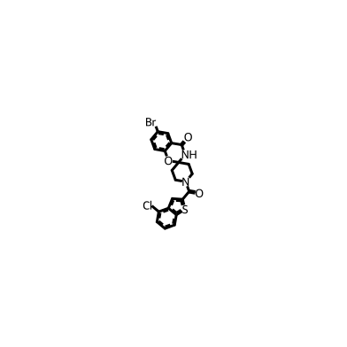 O=C1NC2(CCN(C(=O)c3cc4c(Cl)cccc4s3)CC2)Oc2ccc(Br)cc21